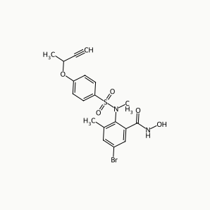 C#CC(C)Oc1ccc(S(=O)(=O)N(C)c2c(C)cc(Br)cc2C(=O)NO)cc1